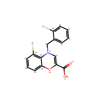 O=C(O)C1=CN(Cc2ccccc2F)c2c(F)cccc2O1